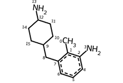 Cc1c(N)cccc1CC1CCC(N)CC1